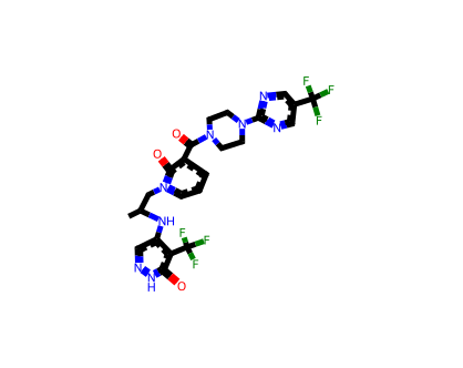 CC(Cn1cccc(C(=O)N2CCN(c3ncc(C(F)(F)F)cn3)CC2)c1=O)Nc1cn[nH]c(=O)c1C(F)(F)F